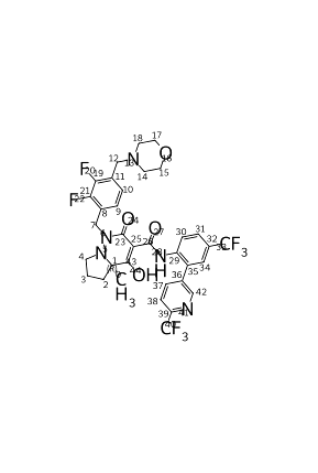 C[C@]12CCCN1N(Cc1ccc(CN3CCOCC3)c(F)c1F)C(=O)C(C(=O)Nc1ccc(C(F)(F)F)cc1-c1ccc(C(F)(F)F)nc1)=C2O